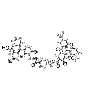 C=c1ccc2c(c1)Oc1cc(N(C)C)ccc1C=2c1c(Cl)cc(C(=O)NCc2ccc(C(=O)NCc3c4oc5cc(O)ccc5c(-c5ccccc5C(=O)O)c-4ccc3=O)cc2)c(Cl)c1C(=O)O